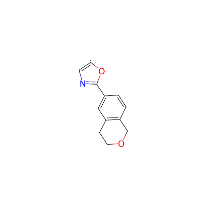 [c]1cnc(-c2ccc3c(c2)CCOC3)o1